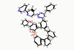 O=S1(=O)c2ccccc2-c2ccccc2-c2ccccc2-c2ccc(-c3cc(-c4ccccc4)nc(-c4ccc(-c5cccnc5)nc4)n3)cc2-c2cc3oc4ccccc4c3cc21